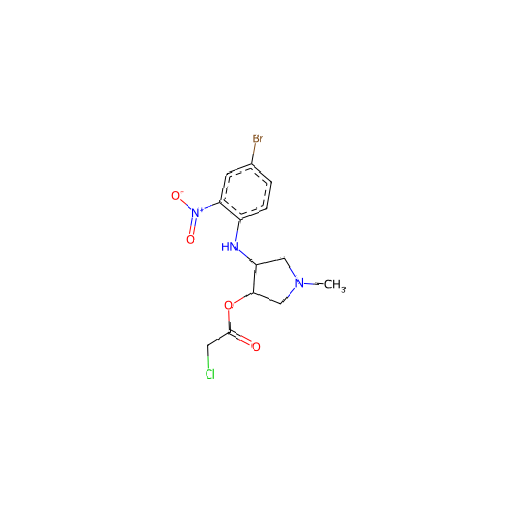 CN1CC(Nc2ccc(Br)cc2[N+](=O)[O-])C(OC(=O)CCl)C1